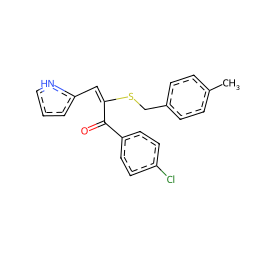 Cc1ccc(CSC(=Cc2ccc[nH]2)C(=O)c2ccc(Cl)cc2)cc1